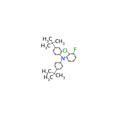 CC(C)(C)c1ccc(N(c2ccc(C(C)(C)C)cc2)c2cccc(F)c2Cl)cc1